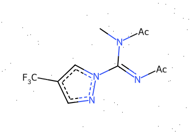 CC(=O)/N=C(\N(C)C(C)=O)n1cc(C(F)(F)F)cn1